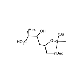 CCCCCCCCCCC[C@@H](C[C@H](O)[C@H](CCCCCC)C(=O)O)O[Si](C)(C)C(C)(C)C